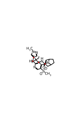 Cn1cc(Nc2ncc(S(C)(=O)=O)c(C3=CC4CCC(C3)N4C(=O)NCC(F)(F)F)n2)cn1